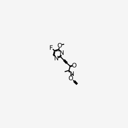 C#CO/N=C(\C)C(=O)C#Cc1ncc(F)c(OC)n1